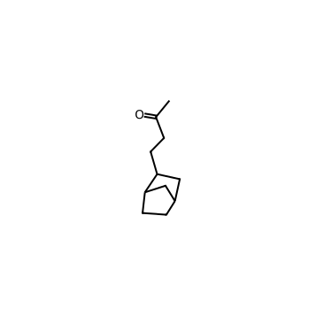 CC(=O)CCC1CC2CCC1C2